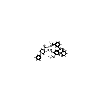 COc1cc2c(cc1OC)[C@H]1CCCC[C@H]1N=C2c1cccc(C(C)=NOCC(=O)N2CCN(c3ccccc3)CC2)c1